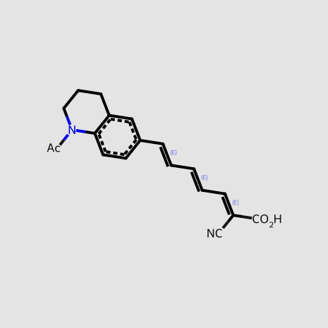 CC(=O)N1CCCc2cc(/C=C/C=C/C=C(\C#N)C(=O)O)ccc21